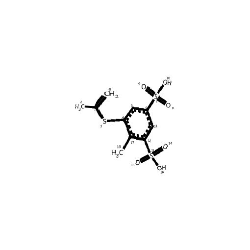 C=C(C)Sc1cc(S(=O)(=O)O)cc(S(=O)(=O)O)c1C